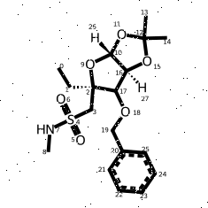 CC[C@]1(CS(=O)(=O)NC)O[C@@H]2OC(C)(C)O[C@H]2C1OCc1ccccc1